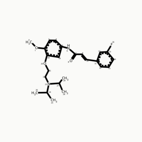 COc1ccc(NC(=O)C=Cc2cccc(F)c2)cc1OCCN(C(C)C)C(C)C